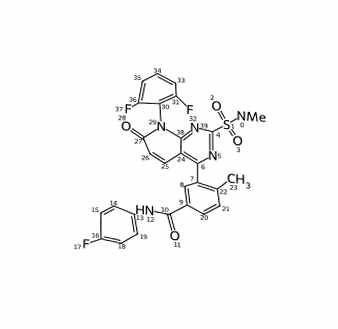 CNS(=O)(=O)c1nc(-c2cc(C(=O)Nc3ccc(F)cc3)ccc2C)c2ccc(=O)n(-c3c(F)cccc3F)c2n1